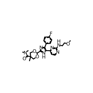 COCCNc1nccc(-c2[nH]c(C3OCC(C)(C(=O)N(C)C)CO3)nc2-c2ccc(F)cc2)n1